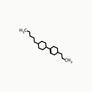 CCCCCC1CCC(C2=CCC(CCC)CC2)CC1